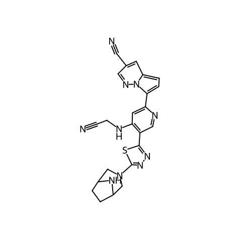 N#CCNc1cc(-c2ccc3cc(C#N)cnn23)ncc1-c1nnc(N2CC3CCC(C2)N3)s1